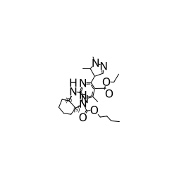 CCCCOC(=O)N[C@H]1CCCC[C@H]1Nc1nc(C)c(C(=O)OCC)c(C2C=NN(C)C2C)n1